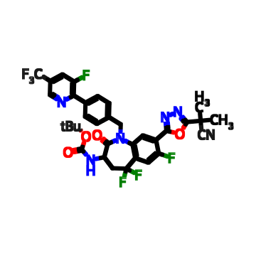 CC(C)(C)OC(=O)NC1CC(F)(F)c2cc(F)c(-c3nnc(C(C)(C)C#N)o3)cc2N(Cc2ccc(-c3ncc(C(F)(F)F)cc3F)cc2)C1=O